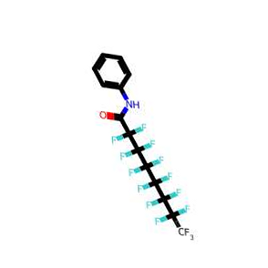 O=C(Nc1ccccc1)C(F)(F)C(F)(F)C(F)(F)C(F)(F)C(F)(F)C(F)(F)C(F)(F)F